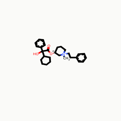 C[N+]1(CCc2ccccc2)CCC[C@@H](OC(=O)C(O)(c2ccccc2)C2CCCCC2)C1